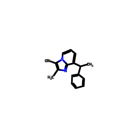 Cc1nc2c(C(C)c3ccccc3)cccn2c1N=O